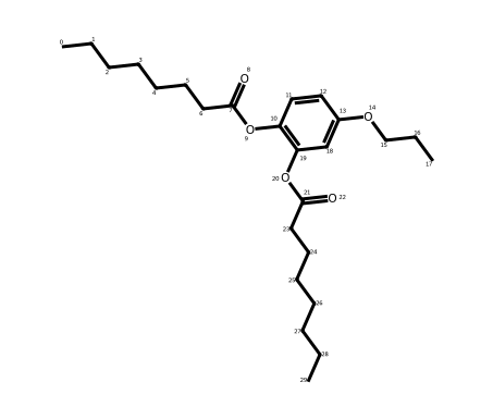 CCCCCCCC(=O)Oc1ccc(OCCC)cc1OC(=O)CCCCCCC